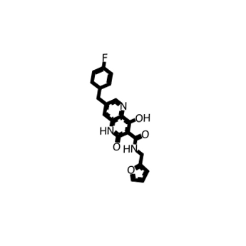 O=C(NCc1ccco1)c1c(O)c2ncc(CC3C=CC(F)=CC3)cc2[nH]c1=O